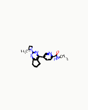 CNC(=O)c1ccc(-c2nc(N3CC[C@@H]3C)nc3c2CCC3)cn1